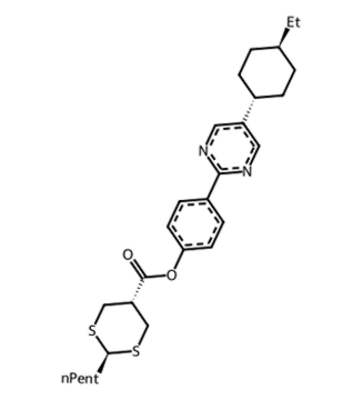 CCCCC[C@H]1SC[C@H](C(=O)Oc2ccc(-c3ncc([C@H]4CC[C@H](CC)CC4)cn3)cc2)CS1